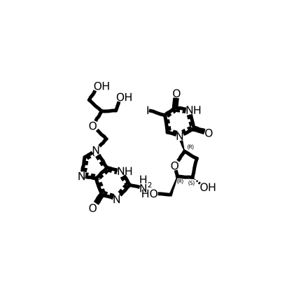 Nc1nc(=O)c2ncn(COC(CO)CO)c2[nH]1.O=c1[nH]c(=O)n([C@H]2C[C@H](O)[C@@H](CO)O2)cc1I